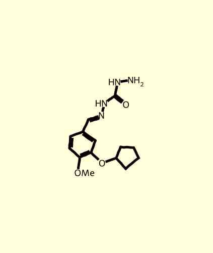 COc1ccc(C=NNC(=O)NN)cc1OC1CCCC1